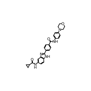 O=C(Nc1ccc(N2CCOCC2)cc1)c1ccc(-c2nc3cc(NC(=O)C4CC4)ccc3[nH]2)cc1